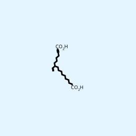 C=CC(CCCCC#CC(=O)O)CCCCCCCCCC(=O)O